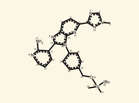 Cn1cnc(-c2ccc3nc(-c4cccnc4N)n(-c4ccc(CO[Si](C)(C)C(C)(C)C)cc4)c3n2)n1